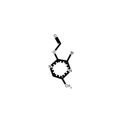 Cc1cnc(OC=O)c(Br)n1